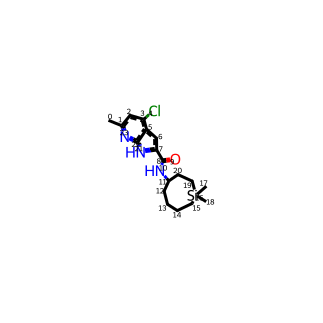 Cc1cc(Cl)c2cc(C(=O)NC3CCCC[Si](C)(C)CC3)[nH]c2n1